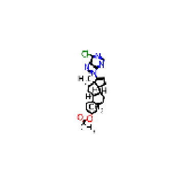 CC(=O)O[C@H]1CC[C@@]2(C)C(=CC[C@@H]3[C@@H]2CC[C@]2(C)C(n4cnc5c(Cl)ncnc54)=CC[C@@H]32)C1